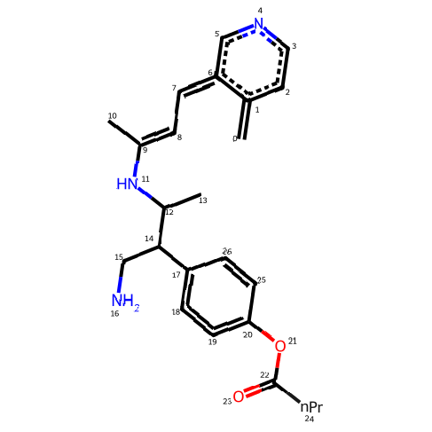 C=c1ccnc/c1=C/C=C(\C)NC(C)C(CN)C1=C=C=C(OC(=O)CCC)C=C1